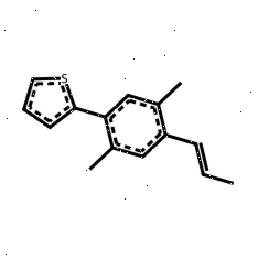 CC=Cc1cc(C)c(-c2cccs2)cc1C